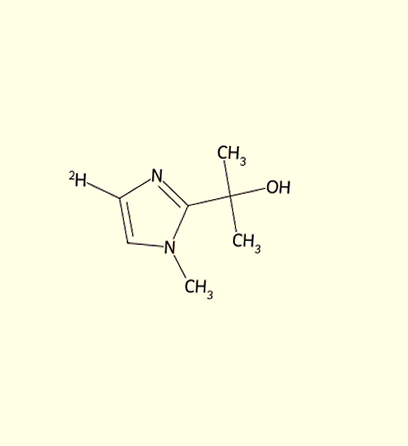 [2H]c1cn(C)c(C(C)(C)O)n1